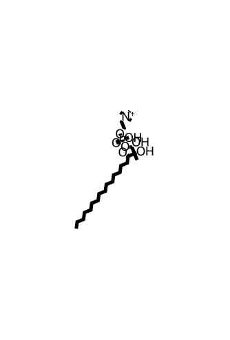 CCCCCCCCCCCCCCCC(=O)C(C)(O)C(O)OP(=O)(O)OCC[N+](C)(C)C